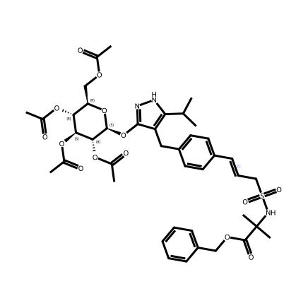 CC(=O)OC[C@H]1O[C@@H](Oc2n[nH]c(C(C)C)c2Cc2ccc(/C=C/CS(=O)(=O)NC(C)(C)C(=O)OCc3ccccc3)cc2)[C@H](OC(C)=O)[C@@H](OC(C)=O)[C@@H]1OC(C)=O